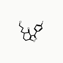 O=C1c2c(-c3ccc(F)cc3)noc2CCC1CCCCl